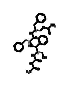 NC(=O)NC(=O)N[C@@H](CO)C(N[C@H](Cc1ccccc1)C(=O)N[C@@H](COC(N)=O)Cc1ccccc1)c1ccccc1